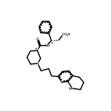 O=C(O)C[C@H](NC(=O)[C@@H]1CCCN(CCCc2ccc3c(n2)NCCC3)C1)c1ccccc1